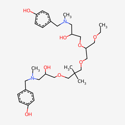 CCOCC(COCC(C)(C)COCC(O)CN(C)Cc1ccc(O)cc1)OCC(O)CN(C)Cc1ccc(O)cc1